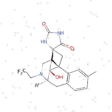 Cc1ccc2c(c1)[C@]13CCN(CC(F)(F)F)[C@H](C2)[C@]1(O)CC[C@@]1(C3)NC(=O)NC1=O